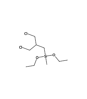 CCO[Si](C)(CC(CCl)CCl)OCC